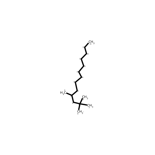 [CH2]C(C)(C)CC(C)CCCCCCCCC